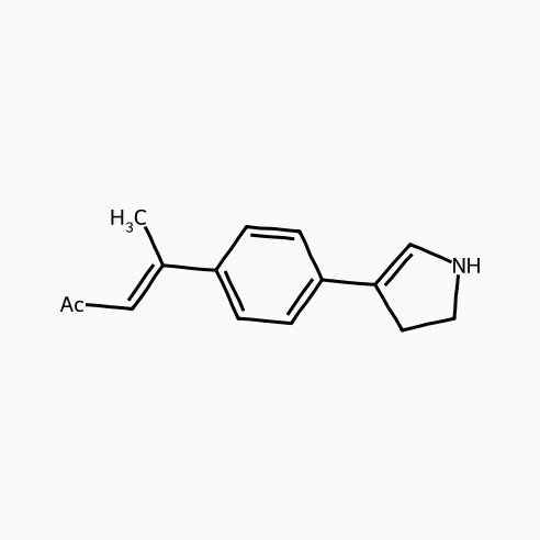 CC(=O)C=C(C)c1ccc(C2=CNCC2)cc1